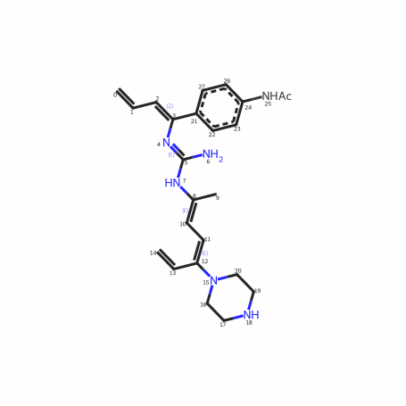 C=C/C=C(\N=C(/N)N/C(C)=C/C=C(\C=C)N1CCNCC1)c1ccc(NC(C)=O)cc1